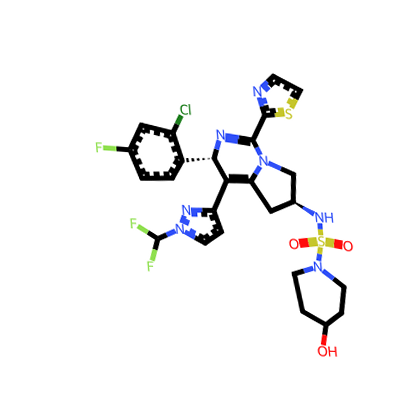 O=S(=O)(N[C@H]1CC2=C(c3ccn(C(F)F)n3)[C@H](c3ccc(F)cc3Cl)N=C(c3nccs3)N2C1)N1CCC(O)CC1